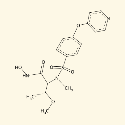 CO[C@H](C)C(C(=O)NO)N(C)S(=O)(=O)c1ccc(Oc2ccncc2)cc1